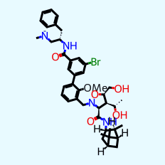 COc1c(CN2O[C@@H](CO)[C@@H]([C@H](C)O)[C@H]2C(=O)N[C@H]2C[C@H]3C[C@@H]([C@@H]2C)C3(C)C)cccc1-c1cc(Br)cc(C(=O)N[C@@H](Cc2ccccc2)CN(C)C)c1